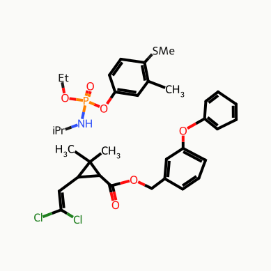 CC1(C)C(C=C(Cl)Cl)C1C(=O)OCc1cccc(Oc2ccccc2)c1.CCOP(=O)(NC(C)C)Oc1ccc(SC)c(C)c1